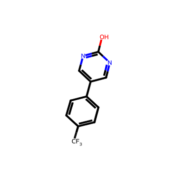 Oc1ncc(-c2ccc(C(F)(F)F)cc2)cn1